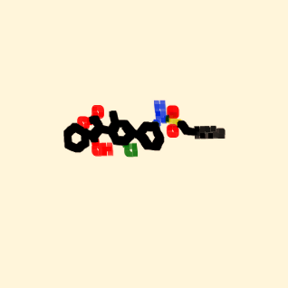 CNCCS(=O)(=O)Nc1cccc(-c2cc(C)c(C3=C(O)C4(CCCCC4)OC3=O)cc2Cl)c1